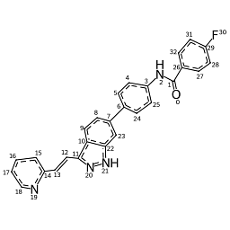 O=C(Nc1ccc(-c2ccc3c(/C=C/c4ccccn4)n[nH]c3c2)cc1)c1ccc(F)cc1